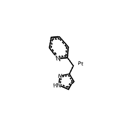 [Pt].c1ccc(Cc2cc[nH]n2)nc1